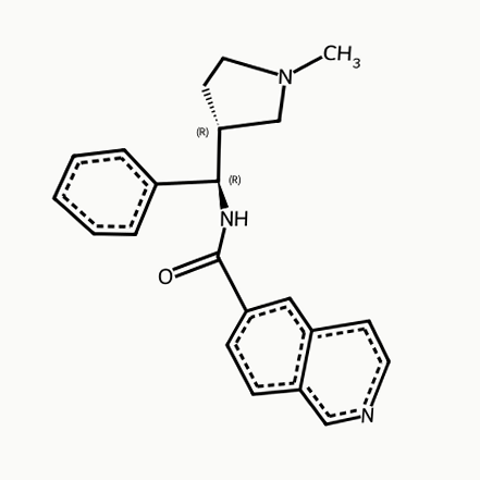 CN1CC[C@@H]([C@@H](NC(=O)c2ccc3cnccc3c2)c2ccccc2)C1